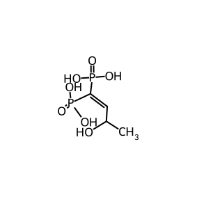 CC(O)C=C(P(=O)(O)O)P(=O)(O)O